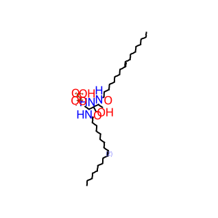 CCCCCCCCC=CCCCCCCCC(=O)NC(C)C(CO)(NC)C(C)NC(=O)CCCCCCC/C=C\CCCCCCCC.COS(=O)(=O)O